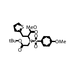 COC(=O)C(Cc1cccs1)N(CC(=O)OC(C)(C)C)S(=O)(=O)c1ccc(OC)cc1